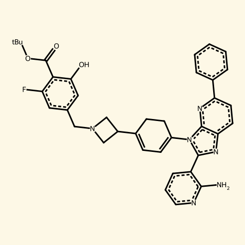 CC(C)(C)OC(=O)c1c(O)cc(CN2CC(C3=CC=C(n4c(-c5cccnc5N)nc5ccc(-c6ccccc6)nc54)CC3)C2)cc1F